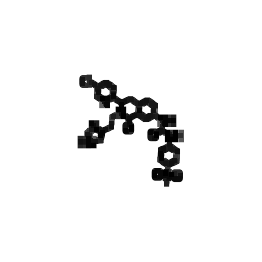 CS(=O)(=O)c1ccc(NC(=O)Nc2ccc3c(c2)C(=O)N(CCc2c[nH]cn2)C(c2ccc(Cl)cn2)C3)cc1